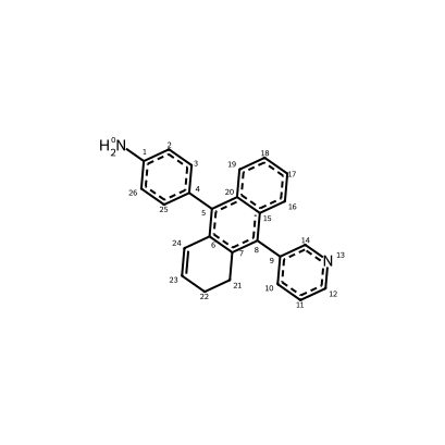 Nc1ccc(-c2c3c(c(-c4cccnc4)c4ccccc24)CCC=C3)cc1